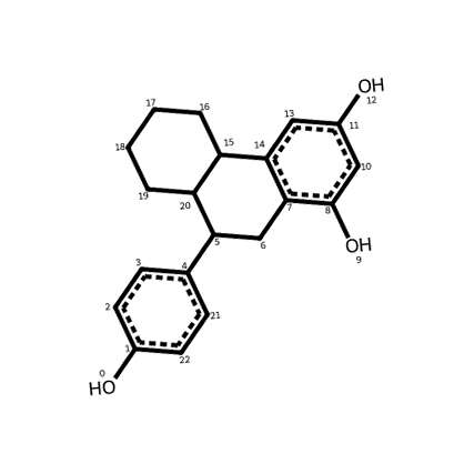 Oc1ccc(C2Cc3c(O)cc(O)cc3C3CCCCC23)cc1